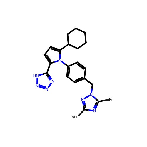 CCCCc1nc(C(C)CC)n(Cc2ccc(-n3c(-c4nnn[nH]4)ccc3C3CCCCC3)cc2)n1